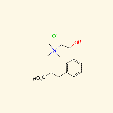 C[N+](C)(C)CCO.O=C(O)CCc1ccccc1.[Cl-]